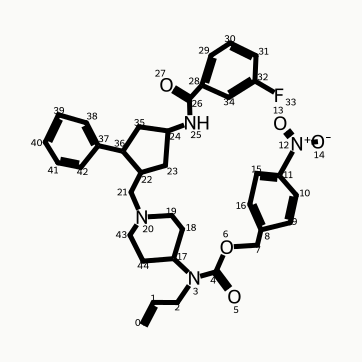 C=CCN(C(=O)OCc1ccc([N+](=O)[O-])cc1)C1CCN(CC2CC(NC(=O)c3cccc(F)c3)CC2c2ccccc2)CC1